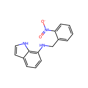 O=[N+]([O-])c1ccccc1CNc1cccc2cc[nH]c12